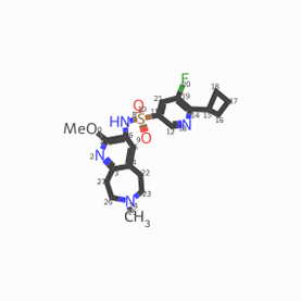 COc1nc2c(cc1NS(=O)(=O)c1cnc(C3CCC3)c(F)c1)CCN(C)CC2